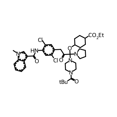 CCOC(=O)C1CCC(OC(C(=O)Cc2cc(Cl)c(NC(=O)c3cn(C)c4ccccc34)cc2Cl)(N2CCCC2)N2CCN(C(=O)C(C)(C)C)CC2)CC1